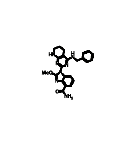 COc1nc2c(C(N)=O)cccc2n1-c1nc2c(c(NCc3ccccc3)n1)CCCN2